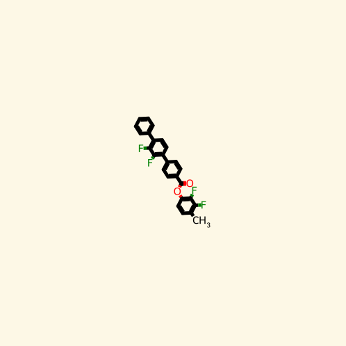 Cc1ccc(OC(=O)c2ccc(-c3ccc(-c4ccccc4)c(F)c3F)cc2)c(F)c1F